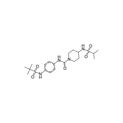 CC(C)S(=O)(=O)NC1CCN(C(=O)Nc2ccc(NS(=O)(=O)C(C)(C)C)cc2)CC1